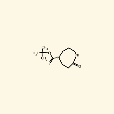 CC(C)(C)OC(=O)N1CCCNC(=O)CC1